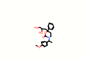 COc1ccc(C(C)N2CCC(CC(O)CO)(c3ccccc3)OC2=O)cc1